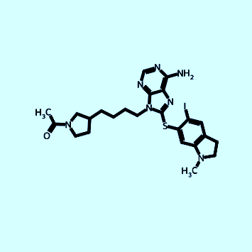 CC(=O)N1CCC(CCCCn2c(Sc3cc4c(cc3I)CCN4C)nc3c(N)ncnc32)C1